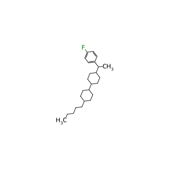 CCCCCC1CCC(C2CCC(C(C)c3ccc(F)cc3)CC2)CC1